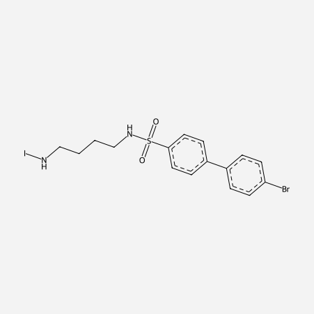 O=S(=O)(NCCCCNI)c1ccc(-c2ccc(Br)cc2)cc1